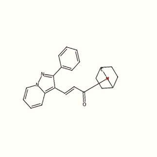 O=C(C=Cc1c(-c2ccccc2)nn2ccccc12)N1CC2CCC(CC2)C1